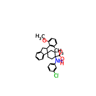 COc1cccc(C)c1C1Cc2ccccc2C12CCC(Nc1cccc(Cl)c1)(C(=O)O)CC2